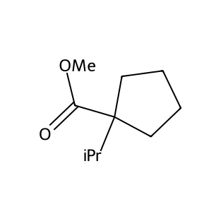 COC(=O)C1(C(C)C)CCCC1